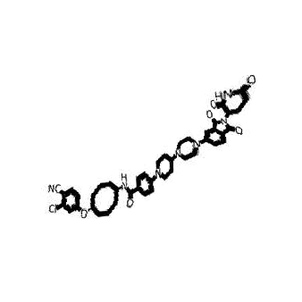 N#Cc1ccc(O[C@H]2CCC[C@H](NC(=O)c3ccc(N4CCC(N5CCN(c6ccc7c(c6)C(=O)N(C6CCC(=O)NC6=O)C7=O)CC5)CC4)cc3)CCC2)cc1Cl